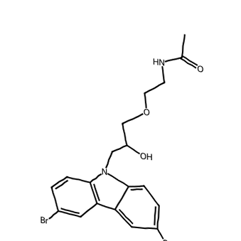 CC(=O)NCCOCC(O)Cn1c2ccc(Br)cc2c2cc(Br)ccc21